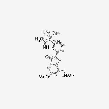 CNCc1cc(OC)cc2c1CN(c1ccnc(/C(C(C)=N)=C(/N)C(C)C)n1)C2=O